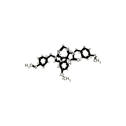 COc1ccc(C23NC(=O)N(Cc4ccc(SC)cc4)C2=NC=Nc2c3ncn2Cc2ccc(SC)cc2)cc1